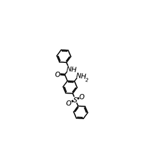 Nc1cc(S(=O)(=O)c2ccccc2)ccc1C(=O)Nc1ccccc1